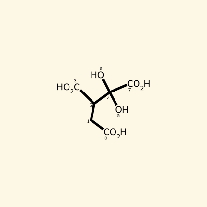 O=C(O)CC(C(=O)O)C(O)(O)C(=O)O